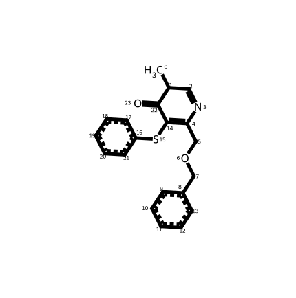 CC1C=NC(COCc2ccccc2)=C(Sc2ccccc2)C1=O